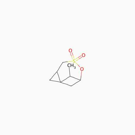 CC1C2CC13CC3CS(=O)(=O)O2